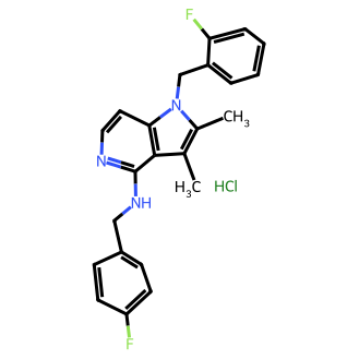 Cc1c(C)n(Cc2ccccc2F)c2ccnc(NCc3ccc(F)cc3)c12.Cl